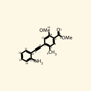 COC(=O)c1cc(C)c(C#Cc2ccccc2N)cc1OC